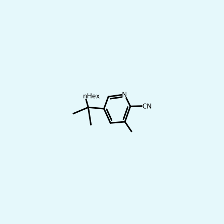 CCCCCCC(C)(C)c1cnc(C#N)c(C)c1